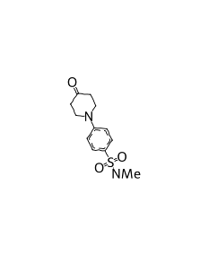 CNS(=O)(=O)c1ccc(N2CCC(=O)CC2)cc1